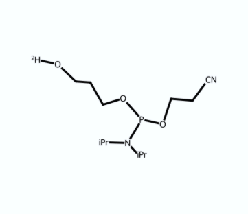 [2H]OCCCOP(OCCC#N)N(C(C)C)C(C)C